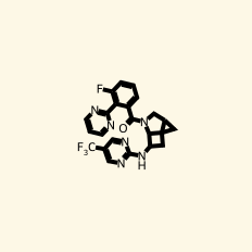 O=C(c1cccc(F)c1-c1ncccn1)N1CC2CC23CC(Nc2ncc(C(F)(F)F)cn2)C13